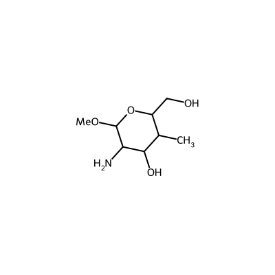 COC1OC(CO)C(C)C(O)C1N